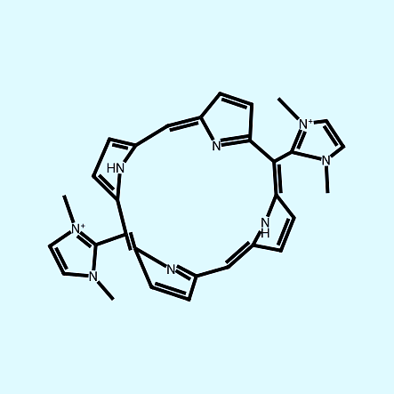 Cn1cc[n+](C)c1-c1c2nc(cc3ccc([nH]3)c(-c3n(C)cc[n+]3C)c3nc(cc4ccc1[nH]4)C=C3)C=C2